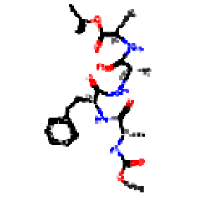 C=C(C)OC(=O)[C@H](NC(=O)[C@@H](NC(=O)[C@H](Cc1ccccc1)NC(=O)[C@H](C)NC(=O)OC(C)(C)C)C(C)C)C(C)C